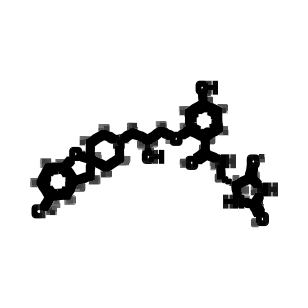 O=C1NC(=O)[C@@H](CNC(=O)c2ccc(O)cc2OC[C@H](O)CN2CCC3(CC2)Cc2cc(Cl)ccc2O3)N1